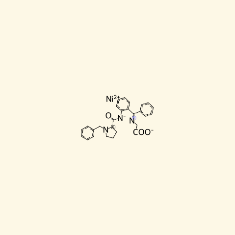 O=C([O-])C/N=C(\c1ccccc1)c1ccccc1[N-]C(=O)[C@@H]1CCCN1Cc1ccccc1.[Ni+2]